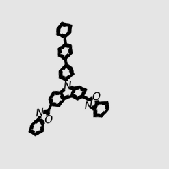 c1ccc(-c2ccc(-c3ccc(-n4c5ccc(-c6nc7ccccc7o6)cc5c5cc(-c6nc7ccccc7o6)ccc54)cc3)cc2)cc1